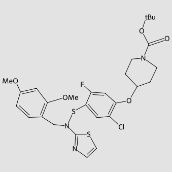 COc1ccc(CN(Sc2cc(Cl)c(OC3CCN(C(=O)OC(C)(C)C)CC3)cc2F)c2nccs2)c(OC)c1